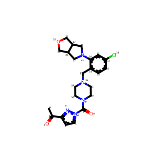 CC(=O)c1ccn(C(=O)N2CCN(Cc3ccc(Cl)cc3N3CC4COCC4C3)CC2)n1